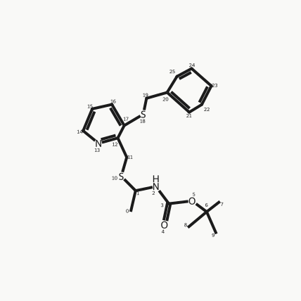 CC(NC(=O)OC(C)(C)C)SCc1ncccc1SCc1ccccc1